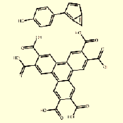 O=C(O)c1cc2c3cc(C(=O)O)c(C(=O)O)cc3c3cc(C(=O)O)c(C(=O)O)cc3c2cc1C(=O)O.Oc1ccc(-c2ccc3cc2-3)cc1